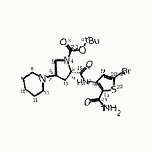 CC(C)(C)OC(=O)N1CC(N2CCCCC2)C[C@H]1C(=O)Nc1cc(Br)sc1C(N)=O